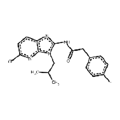 CC(C)Cn1c(NC(=O)Cc2ccc(F)cc2)nc2ccc(Cl)nc21